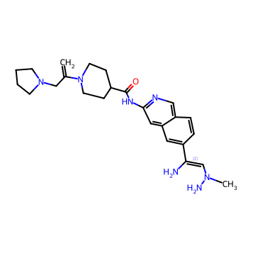 C=C(CN1CCCC1)N1CCC(C(=O)Nc2cc3cc(/C(N)=C/N(C)N)ccc3cn2)CC1